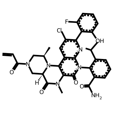 C=CC(=O)N1C[C@@H](C)N2c3c(c(=O)n(-c4c(C(N)=O)cccc4C(C)C)c4nc(-c5c(O)cccc5F)c(Cl)cc34)N(C)C(=O)[C@H]2C1